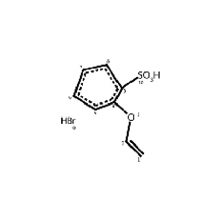 Br.C=COc1ccccc1S(=O)(=O)O